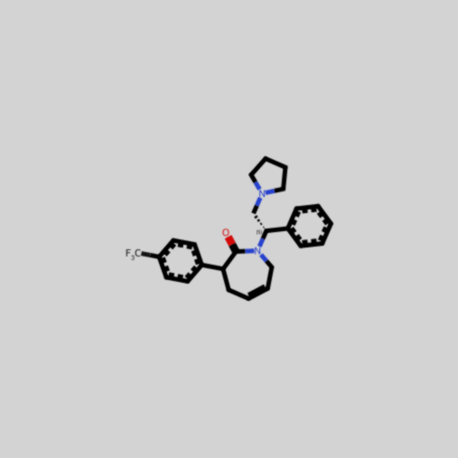 O=C1C(c2ccc(C(F)(F)F)cc2)CC=CCN1[C@H](CN1CCCC1)c1ccccc1